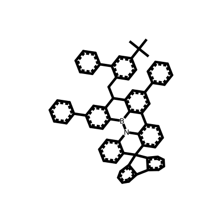 CC(C)(C)c1ccc(CC2c3cc(-c4ccccc4)ccc3B3c4c(cc(-c5ccccc5)cc42)-c2cccc4c2N3c2ccccc2C42c3ccccc3-c3ccccc32)c(-c2ccccc2)c1